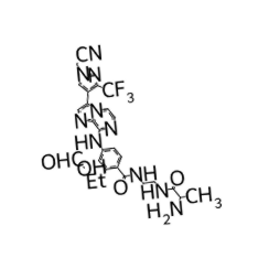 CCc1cc(Nc2nccn3c(-c4cn(CC#N)nc4C(F)(F)F)cnc23)ccc1C(=O)NCCNC(=O)C(C)N.O=CO